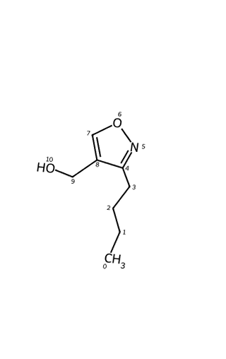 CCCCc1nocc1CO